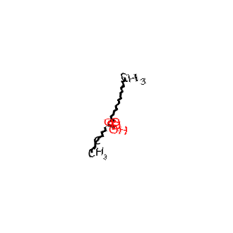 CCCCCCCCCCCCCCCC(=O)O[C@@H](CCCCCCCCCC)C(=O)O